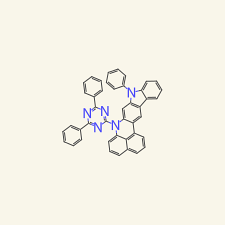 c1ccc(-c2nc(-c3ccccc3)nc(N3c4cc5c(cc4-c4cccc6cccc3c46)c3ccccc3n5-c3ccccc3)n2)cc1